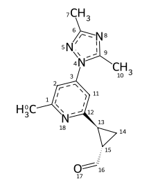 Cc1cc(-n2nc(C)nc2C)cc([C@H]2C[C@@H]2C=O)n1